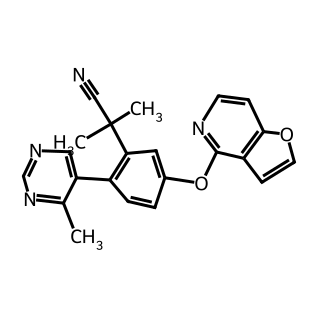 Cc1ncncc1-c1ccc(Oc2nccc3occc23)cc1C(C)(C)C#N